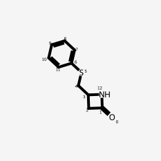 O=C1CC(CSc2ccccc2)N1